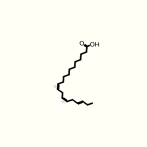 CCC=CC/C=C\C/C=C\CCCCCCCCCC(=O)O